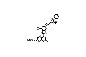 COCc1cnc2c(-c3nc4c(Cl)cc(OCCNS(=O)(=O)c5ccccc5)cc4s3)cc(C)cc2n1